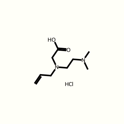 C=CCN(CCN(C)C)CC(=O)O.Cl